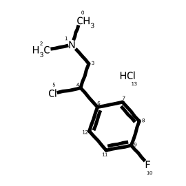 CN(C)CC(Cl)c1ccc(F)cc1.Cl